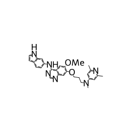 COc1cc2c(Nc3ccc4cc[nH]c4c3)ncnc2cc1OCCCN(C)c1cc(C)nc(C)c1